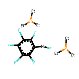 CCP(CC)CC.CCP(CC)CC.[F][Ni][c]1c(F)c(F)c(F)c(F)c1F